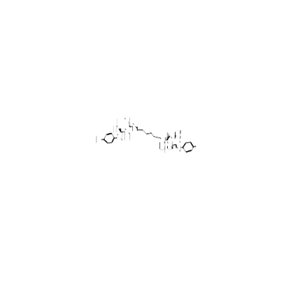 N=C(NCCCCCCNC(=N)NC(=N)Nc1ccc(F)cc1)NC(=N)Nc1ccc(F)cc1